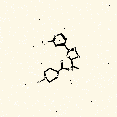 CC(=O)N1CCC(C(=O)NC(C)c2nc(-c3ccnc(C(F)(F)F)c3)no2)CC1